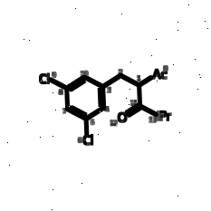 CC(=O)C(Cc1cc(Cl)cc(Cl)c1)C(=O)C(C)C